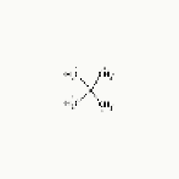 [CH2]C([CH2])([CH2])[CH2]